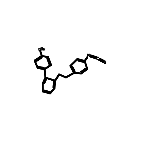 CCCCc1ccc(-c2ccccc2CCc2ccc(N=C=S)cc2)cc1